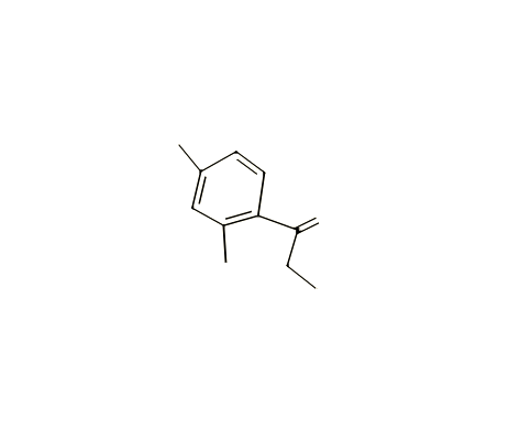 Cc1ccc(C(=O)CBr)c(S)c1